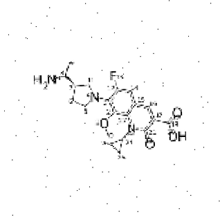 COc1c(N2CC[C@@H](C(C)N)C2)c(F)cc2cc(C(=O)O)c(=O)n(C3CC3)c12